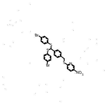 O=[N+]([O-])c1ccc(SCc2ccc(C(Sc3ccc(Br)cc3)Sc3ccc(Br)cc3)cc2)nc1